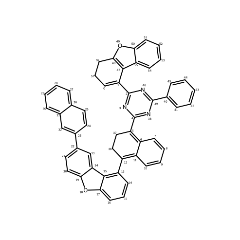 C1=C(c2nc(C3=c4ccccc4=C(c4cccc5oc6ccc(-c7ccc8ccccc8c7)cc6c45)CC3)nc(-c3ccccc3)n2)c2c(oc3ccccc23)CC1